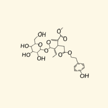 C/C=C1\C(OC2OC(CO)C(O)C(O)C2O)OC=C(C(=O)OC)C1CC(=O)OCCc1ccc(O)cc1